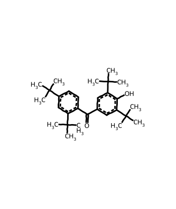 CC(C)(C)c1ccc(C(=O)c2cc(C(C)(C)C)c(O)c(C(C)(C)C)c2)c(C(C)(C)C)c1